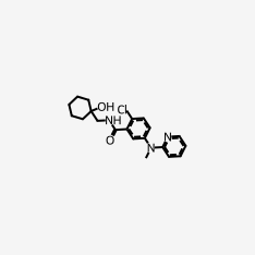 CN(c1ccc(Cl)c(C(=O)NCC2(O)CCCCC2)c1)c1ccccn1